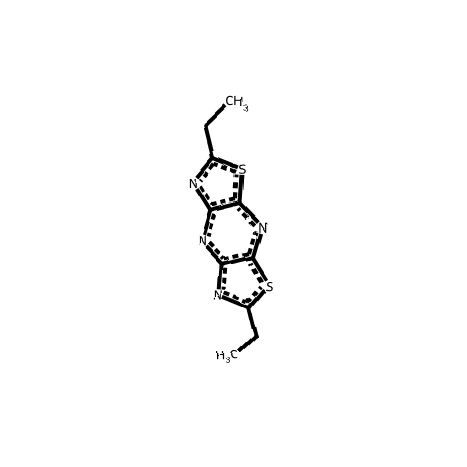 CCc1nc2nc3nc(CC)sc3nc2s1